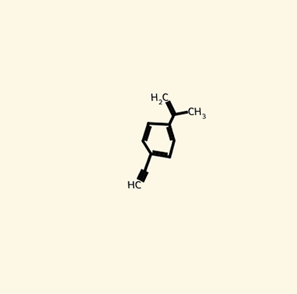 C#Cc1ccc(C(=C)C)cc1